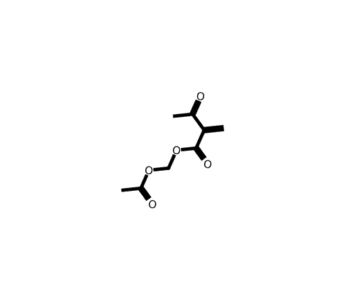 C=C(C(C)=O)C(=O)OCOC(C)=O